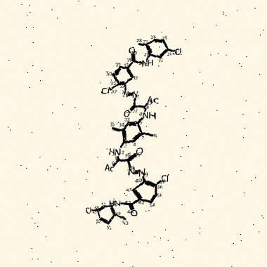 CC(=O)C(Nc1cc(C)c(NC(C(C)=O)C(=O)/N=N/c2cc(C(=O)Nc3cc(Cl)ccc3C)ccc2Cl)cc1C)C(=O)/N=N/c1cc(C(=O)Nc2cc(Cl)ccc2C)ccc1Cl